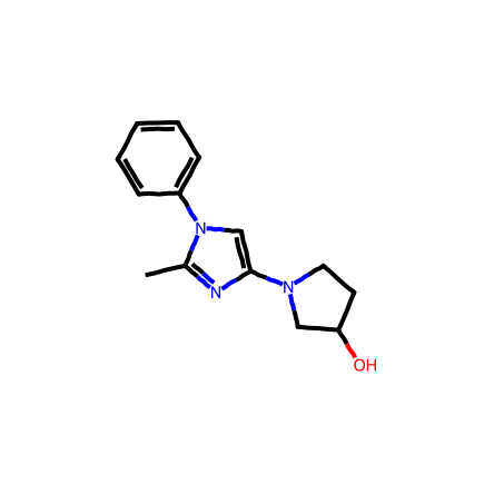 Cc1nc(N2CCC(O)C2)cn1-c1ccccc1